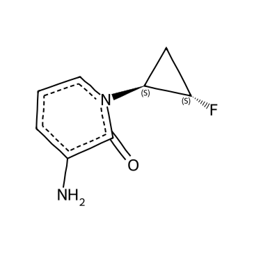 Nc1cccn([C@H]2C[C@@H]2F)c1=O